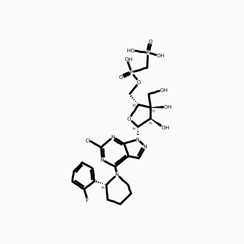 O=P(O)(O)CP(=O)(O)OC[C@H]1O[C@@H](n2ncc3c(N4CCCC[C@@H]4c4ccccc4F)nc(Cl)nc32)[C@H](O)[C@@]1(O)CO